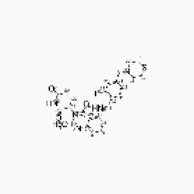 Cc1nc2cccc(NCc3ccc(CN4CCSCC4)cc3F)c2c(=O)n1C1CCC(=O)NC1=O